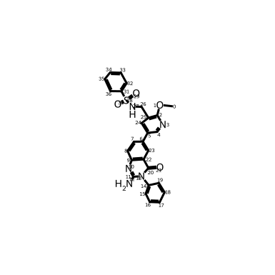 COc1ncc(-c2ccc3nc(N)n(-c4ccccc4)c(=O)c3c2)cc1CNS(=O)(=O)c1ccccc1